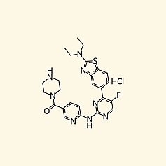 CCN(CC)c1nc2cc(-c3nc(Nc4ccc(C(=O)N5CCNCC5)cn4)ncc3F)ccc2s1.Cl